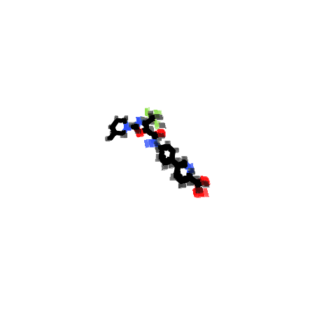 CC1CCCN(c2nc(C(F)(F)F)c(C(=O)Nc3ccc(-c4ccc(C(=O)O)nc4)cc3)o2)C1